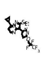 CCSc1nn2c(C3CC3)ccnc2c1-c1ccc(OCC(F)(F)C(F)(F)F)nn1